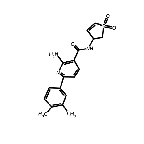 Cc1ccc(-c2ccc(C(=O)NC3C=CS(=O)(=O)C3)c(N)n2)cc1C